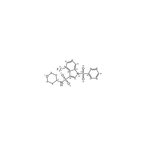 O=S(=O)(NC1CCOCC1)c1cn(S(=O)(=O)c2ccccc2)c2cccc(C(F)(F)F)c12